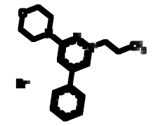 FC(F)(F)CC[n+]1cc(-c2ccccc2)cc(N2CCOCC2)n1.[Br-]